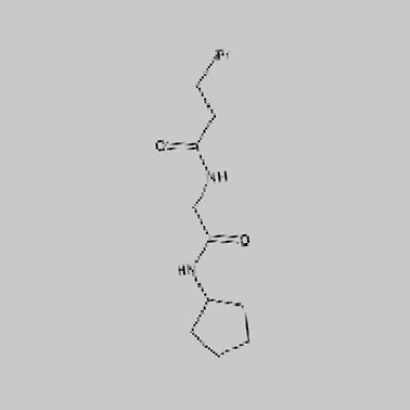 CC(C)CCC(=O)NCC(=O)NC1CCCC1